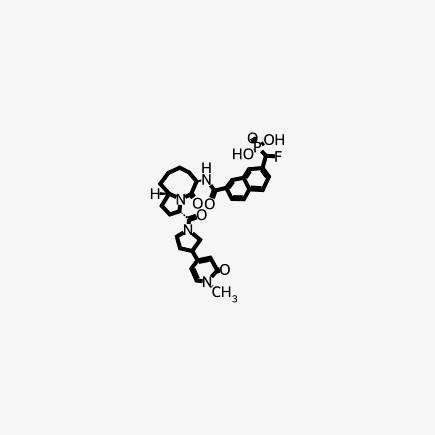 Cn1ccc(C2CCN(C(=O)[C@@H]3CC[C@@H]4CCCC[C@H](NC(=O)c5ccc6ccc(C(F)P(=O)(O)O)cc6c5)C(=O)N43)C2)cc1=O